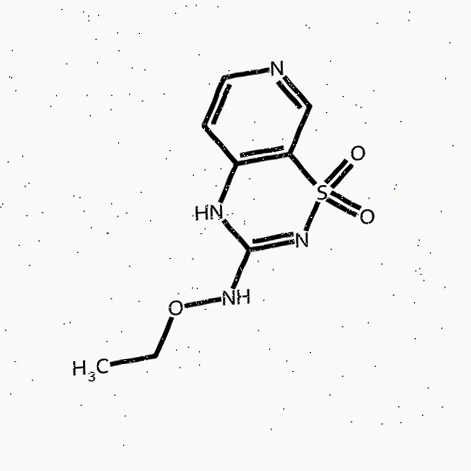 CCONC1=NS(=O)(=O)c2cnccc2N1